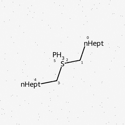 CCCCCCCCSCCCCCCCC.P